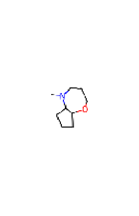 CN1CCCOC2CCCC21